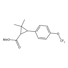 COC(=O)C1C(c2ccc(OC(F)(F)F)cc2)C1(C)C